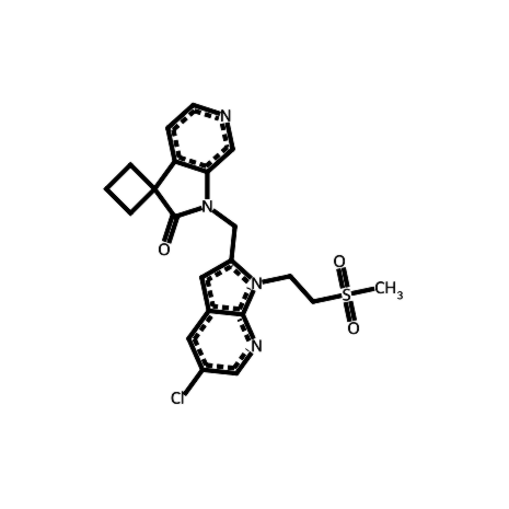 CS(=O)(=O)CCn1c(CN2C(=O)C3(CCC3)c3ccncc32)cc2cc(Cl)cnc21